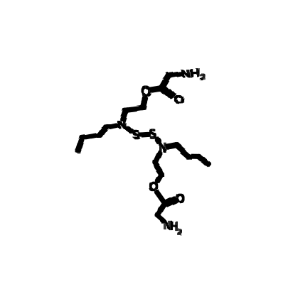 CCCCN(CCOC(=O)CN)SSN(CCCC)CCOC(=O)CN